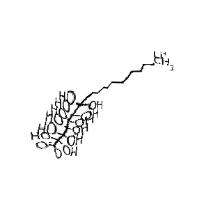 CCCCCCCCCCCC(O)(O)C(O)(O)C(O)(O)C(O)(O)C(O)(O)C(O)(O)C(=O)[O-].[Li+]